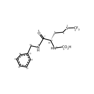 O=C(O)N[C@@H](CCSC(F)(F)F)C(=O)NCc1ccccc1